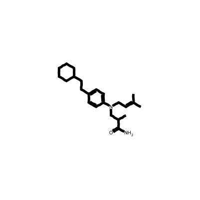 C[C](CN(CC=C(C)C)c1ccc(CCC2CCCCC2)cc1)C(N)=O